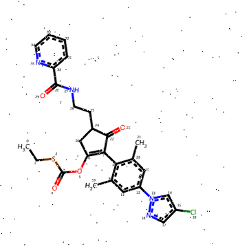 CCSC(=O)OC1=C(c2c(C)cc(-n3cc(Cl)cn3)cc2C)C(=O)C(CCNC(=O)c2ccccn2)C1